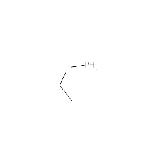 CC[P@](C)P